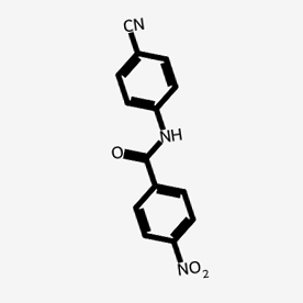 N#Cc1ccc(NC(=O)c2ccc([N+](=O)[O-])cc2)cc1